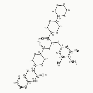 Nc1c(Br)cc(CC(CC(=O)N2CCC(N3Cc4ccccc4NC3=O)CC2)C(=O)N2CCC(N3CCCCC3)CC2)cc1Br